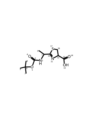 CC(NC(=O)OC(C)(C)C)C1=NC(C(=O)O)CS1